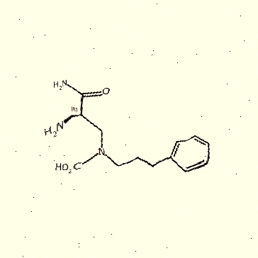 NC(=O)[C@H](N)CN(CCCc1ccccc1)C(=O)O